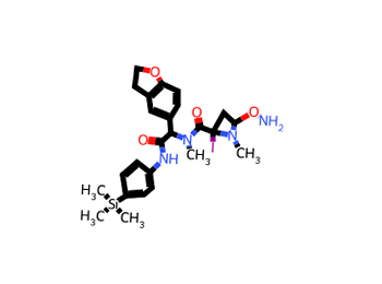 CN(C(=O)C1(I)CC(ON)N1C)C(C(=O)Nc1ccc([Si](C)(C)C)cc1)c1ccc2c(c1)CCO2